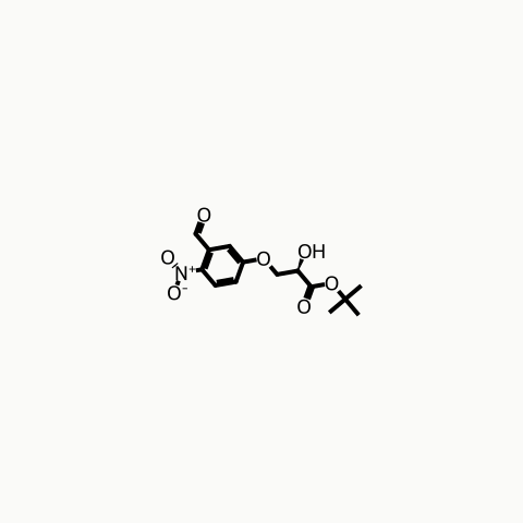 CC(C)(C)OC(=O)[C@H](O)COc1ccc([N+](=O)[O-])c(C=O)c1